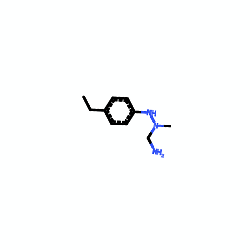 CCc1ccc(NN(C)CN)cc1